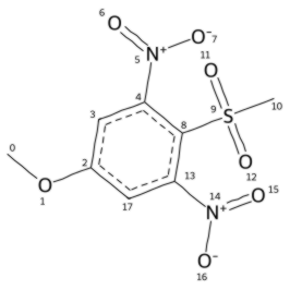 COc1cc([N+](=O)[O-])c(S(C)(=O)=O)c([N+](=O)[O-])c1